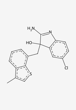 Cc1csc2c(CC3(O)C(N)=Nc4ccc(Cl)cc43)cccc12